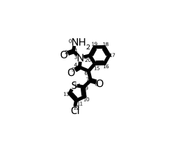 NC(=O)N1C(=O)C(C(=O)c2cc(Cl)cs2)c2ccccc21